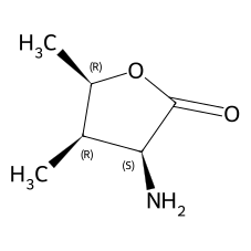 C[C@@H]1[C@H](N)C(=O)O[C@@H]1C